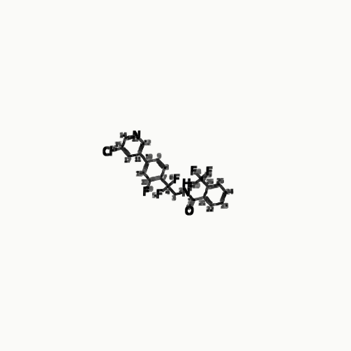 O=C(NCC(F)(F)c1ccc(-c2cncc(Cl)c2)cc1F)c1ccccc1C(F)(F)F